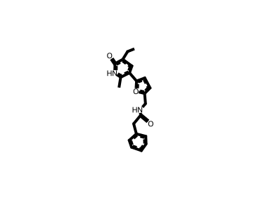 CCc1cc(-c2ccc(CNC(=O)Cc3ccccc3)o2)c(C)[nH]c1=O